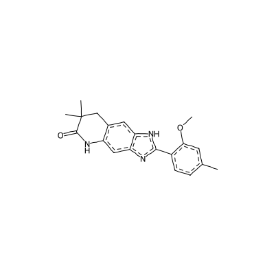 COc1cc(C)ccc1-c1nc2cc3c(cc2[nH]1)CC(C)(C)C(=O)N3